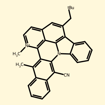 Cc1c2ccccc2c(C#N)c2c1c1c3c(cc[n+]1C)cc(CC(C)(C)C)c1c4ccccc4n2c13